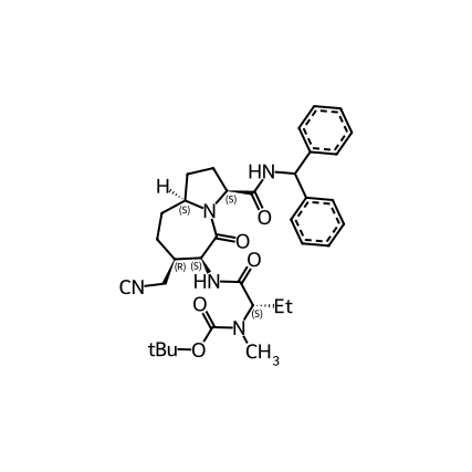 [C-]#[N+]C[C@H]1CC[C@H]2CC[C@@H](C(=O)NC(c3ccccc3)c3ccccc3)N2C(=O)[C@H]1NC(=O)[C@H](CC)N(C)C(=O)OC(C)(C)C